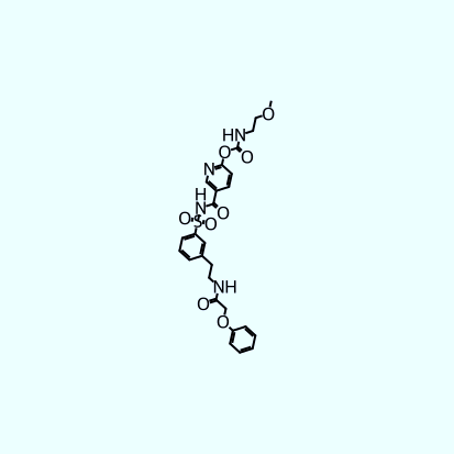 COCCNC(=O)Oc1ccc(C(=O)NS(=O)(=O)c2cccc(CCNC(=O)COc3ccccc3)c2)cn1